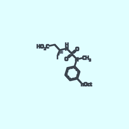 CCCCCCCCc1cccc(N(C)S(=O)(=O)N[C@@H](I)CC(=O)O)c1